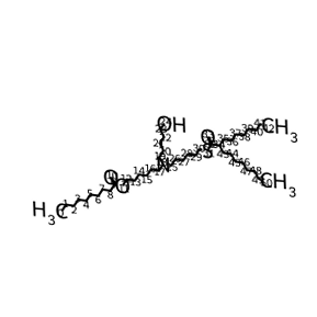 CCCCCCCCCC(=O)OCCCCCCN(CCCCCO)CCCCCCSC(=O)C(CCCCCCCC)CCCCCCCC